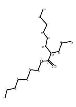 CCCCCCCOC(=O)C(CCC)CCCCCC